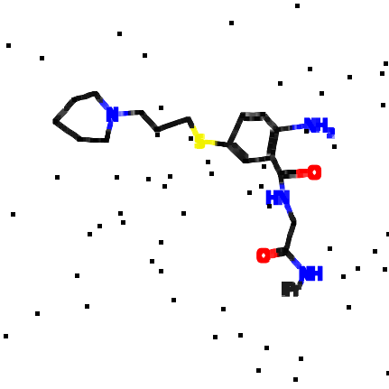 CC(C)NC(=O)CNC(=O)c1cc(SCCCN2CCCCC2)ccc1N